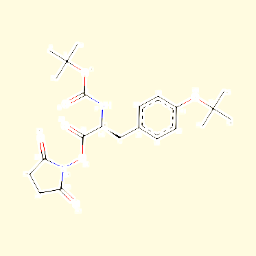 CC(C)(C)OC(=O)N[C@@H](Cc1ccc(OC(C)(C)C)cc1)C(=O)ON1C(=O)CCC1=O